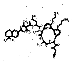 Cc1nc(-c2ccc3c(c2)CCCC3(C)C)nc(C)c1C(=O)NC(CCN)C(=O)N(C)C1C(=O)NC(C)C(=O)NC(C(=O)NCC#N)Cc2ccc(OCCN)c(c2)-c2cc1ccc2OCCN